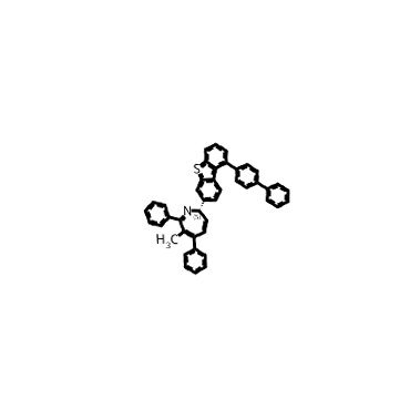 CC1=C(c2ccccc2)C=C[C@@H](c2ccc3c(c2)sc2cccc(-c4ccc(-c5ccccc5)cc4)c23)N=C1c1ccccc1